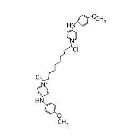 COc1ccc(Nc2cc[n+](C(Cl)CCCCCCCCC(Cl)[n+]3ccc(Nc4ccc(OC)cc4)cc3)cc2)cc1